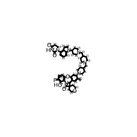 COc1cc(N2CCC(CN3CCC(CN4CCC(n5ccc6c(N7CCC(=O)NC7=O)cccc65)CC4)CC3)CC2)c(F)cc1C1N(c2cccc(F)c2O)C(=O)C12CCOCC2